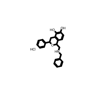 Cl.Oc1ccc2c(c1O)CC(c1ccccc1)OC2CNCc1ccccc1